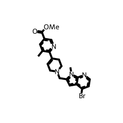 COC(=O)c1cnc(C2=CCN(Cc3cc4c(Br)ccnc4n3C)CC2)c(C)c1